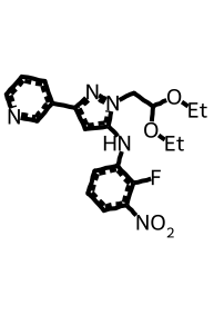 CCOC(Cn1nc(-c2cccnc2)cc1Nc1cccc([N+](=O)[O-])c1F)OCC